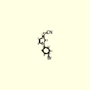 N#CSN1C=CN(c2ccc(Br)cc2)C1